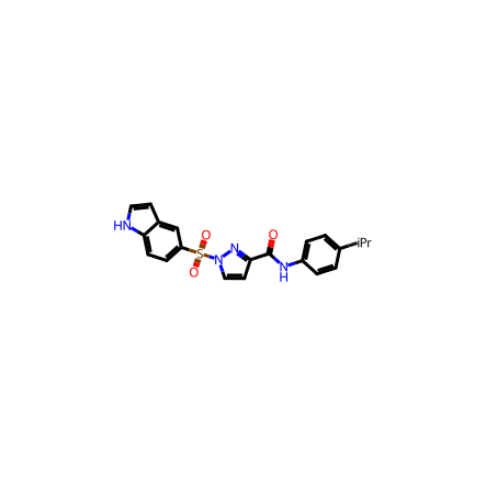 CC(C)c1ccc(NC(=O)c2ccn(S(=O)(=O)c3ccc4[nH]ccc4c3)n2)cc1